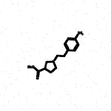 COC(=O)C1CCN(CCc2ccc(N)cc2)C1